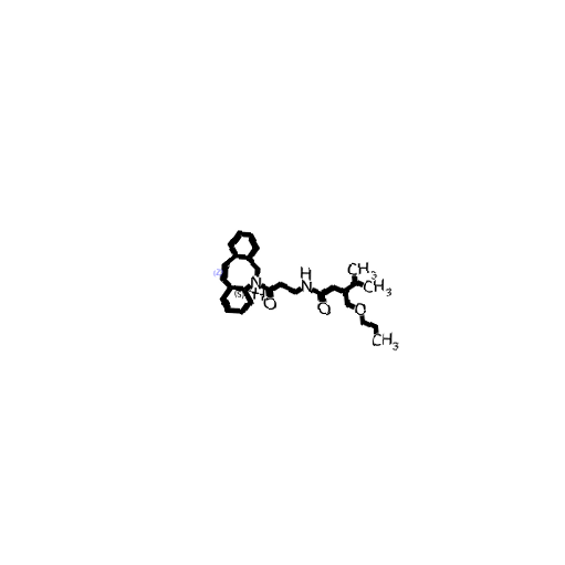 CCCOCC(CC(=O)NCCC(=O)N1CC2C=CC=CC2/C=C\C2C=CCC[C@@H]21)C(C)C